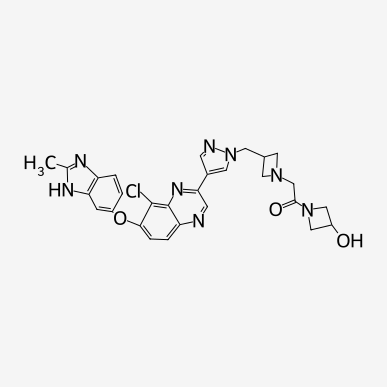 Cc1nc2ccc(Oc3ccc4ncc(-c5cnn(CC6CN(CC(=O)N7CC(O)C7)C6)c5)nc4c3Cl)cc2[nH]1